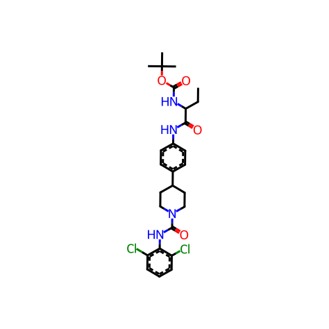 CCC(NC(=O)OC(C)(C)C)C(=O)Nc1ccc(C2CCN(C(=O)Nc3c(Cl)cccc3Cl)CC2)cc1